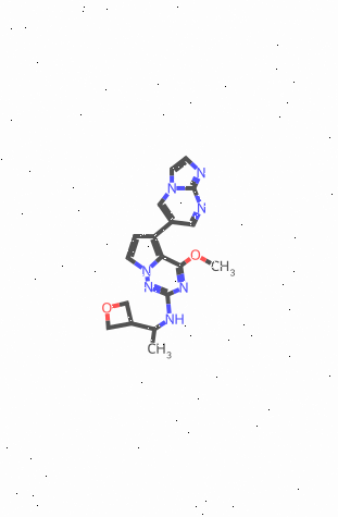 COc1nc(NC(C)C2COC2)nn2ccc(-c3cnc4nccn4c3)c12